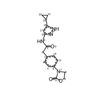 O=C(Cc1ccc(N2CCOC2=O)cc1)Nc1cc(C2CC2)[nH]n1